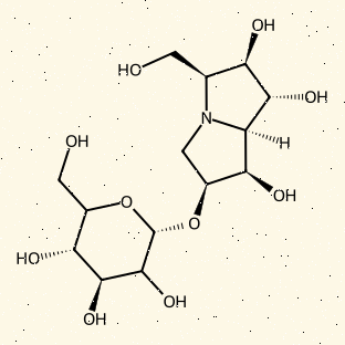 OCC1O[C@H](O[C@H]2CN3[C@H]([C@H]2O)[C@@H](O)[C@H](O)[C@@H]3CO)C(O)[C@@H](O)[C@@H]1O